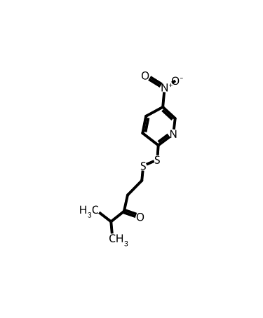 CC(C)C(=O)CCSSc1ccc([N+](=O)[O-])cn1